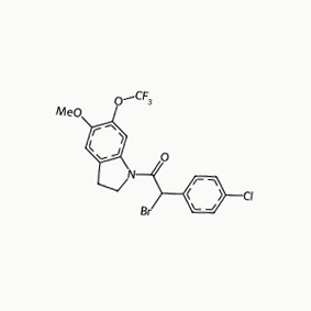 COc1cc2c(cc1OC(F)(F)F)N(C(=O)C(Br)c1ccc(Cl)cc1)CC2